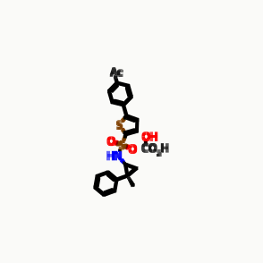 CC(=O)c1ccc(-c2ccc(S(=O)(=O)N[C@H]3C[C@]3(C)c3ccccc3)s2)cc1.O=C(O)O